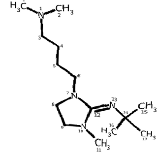 CN(C)CCCCN1CCN(C)/C1=N\C(C)(C)C